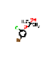 CC(C)(O)COc1ccc(Br)cc1Cl